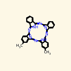 Cc1ccc2c(c1)-c1nc-2nc2[nH]c(nc3nc(nc4[nH]c(n1)c1cc(C)ccc41)-c1ccccc1-3)c1ccccc21